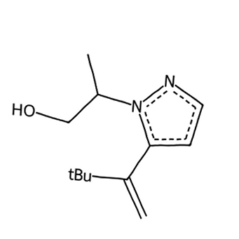 C=C(c1ccnn1C(C)CO)C(C)(C)C